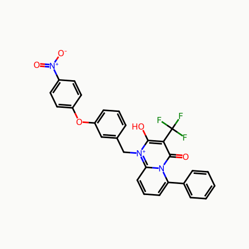 O=c1c(C(F)(F)F)c(O)[n+](Cc2cccc(Oc3ccc([N+](=O)[O-])cc3)c2)c2cccc(-c3ccccc3)n12